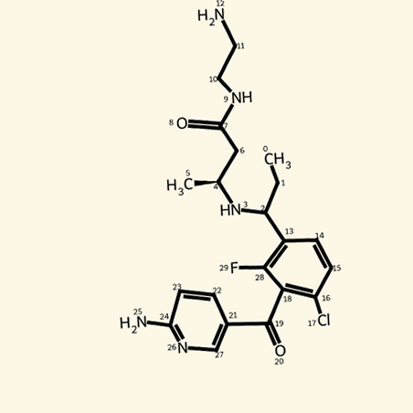 CCC(N[C@@H](C)CC(=O)NCCN)c1ccc(Cl)c(C(=O)c2ccc(N)nc2)c1F